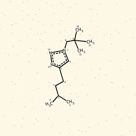 CC(C)CCc1cn(CC(C)(C)C)nn1